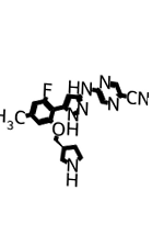 Cc1cc(F)c(-c2cc(Nc3cnc(C#N)cn3)n[nH]2)c(OC[C@H]2CCNC2)c1